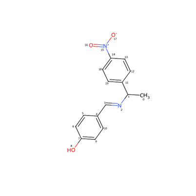 CC(N=Cc1ccc(O)cc1)c1ccc([N+](=O)[O-])cc1